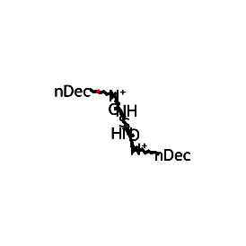 CCCCCCCCCCCCCCCCC[N+](C)(C)CCCC(=O)NCCSSCCNC(=O)CCC[N+](C)(C)CCCCCCCCCCCCCCCC